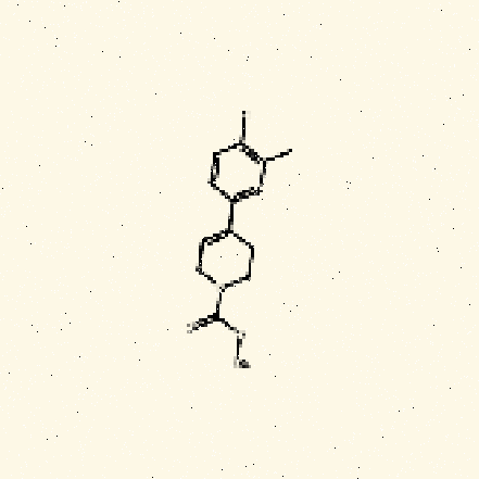 Cc1nc(C2=CCN(C(=O)OC(C)(C)C)CC2)ccc1Cl